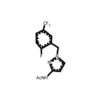 CC(=O)Nc1ccn(Cc2cc(C(F)(F)F)ccc2F)n1